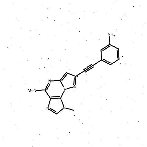 CNc1nc2cc(C#Cc3cccc(N)c3)nn2c2c1ncn2C